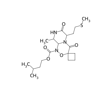 CSCCC1C(=O)NC(C)C2N(C(=O)OCCC(C)C)OC3(CCC3)C(=O)N12